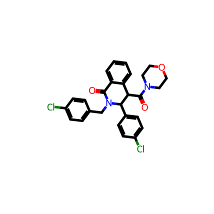 O=C(C1c2ccccc2C(=O)N(Cc2ccc(Cl)cc2)C1c1ccc(Cl)cc1)N1CCOCC1